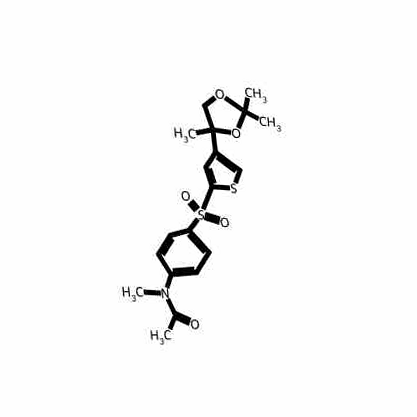 CC(=O)N(C)c1ccc(S(=O)(=O)c2cc(C3(C)COC(C)(C)O3)cs2)cc1